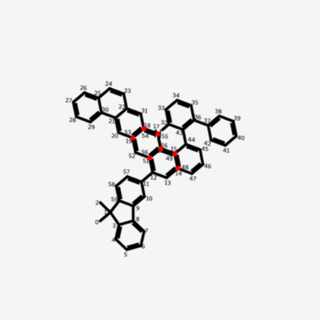 CC1(C)c2ccccc2-c2cc(-c3cccc(N(c4ccc5c(ccc6ccccc65)c4)c4cccc(-c5ccccc5)c4-c4ccccc4-c4ccccc4)c3)ccc21